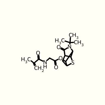 C=C(C)C(=O)NCC(=O)OC1C2CC3C(=O)N(C(C)(C)C)C1C3S2